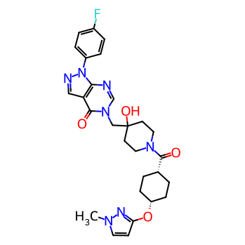 Cn1ccc(O[C@H]2CC[C@@H](C(=O)N3CCC(O)(Cn4cnc5c(cnn5-c5ccc(F)cc5)c4=O)CC3)CC2)n1